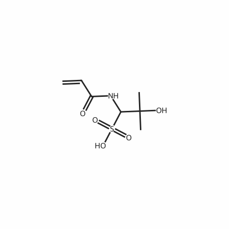 C=CC(=O)NC(C(C)(C)O)S(=O)(=O)O